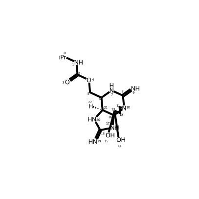 CC(C)NC(=O)OCC1NC(=N)N2CCC(O)(O)C23NC(=N)N[C@@H]13